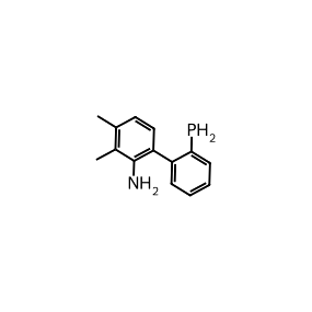 Cc1ccc(-c2ccccc2P)c(N)c1C